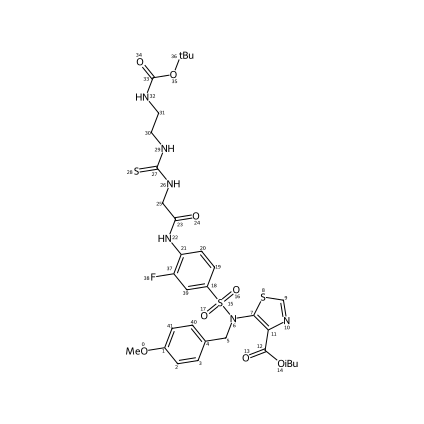 COc1ccc(CN(c2scnc2C(=O)OCC(C)C)S(=O)(=O)c2ccc(NC(=O)CNC(=S)NCCNC(=O)OC(C)(C)C)c(F)c2)cc1